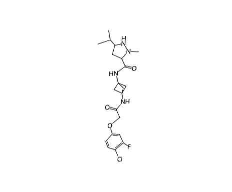 CC(C)C1CC(C(=O)NC23CC(NC(=O)COc4ccc(Cl)c(F)c4)(C2)C3)N(C)N1